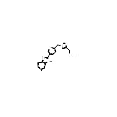 CCn1c(-c2ccc(Cn3cnc(CC(=O)O)c3)nc2)nc2ccc(I)cc21